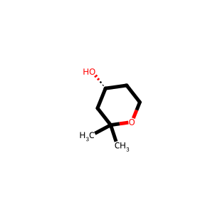 CC1(C)C[C@H](O)CCO1